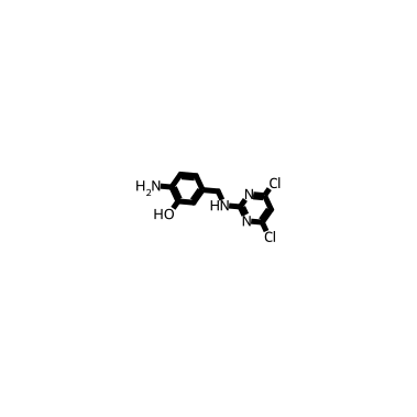 Nc1ccc(CNc2nc(Cl)cc(Cl)n2)cc1O